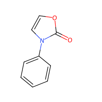 O=c1occn1-c1ccccc1